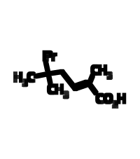 CC(=CCC(C)(C)C(C)C)C(=O)O